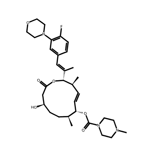 C/C(=C\c1ccc(F)c(N2CCOCC2)c1)[C@H]1OC(=O)C[C@H](O)CC[C@H](C)[C@@H](OC(=O)N2CCN(C)CC2)/C=C/[C@@H]1C